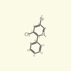 Clc1cc(Br)cnc1-c1c[c]ccc1